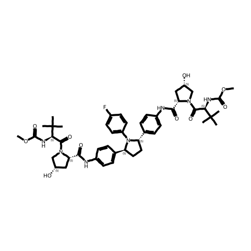 COC(=O)N[C@H](C(=O)N1C[C@@H](O)C[C@H]1C(=O)Nc1ccc([C@@H]2CC[C@@H](c3ccc(NC(=O)[C@@H]4C[C@H](O)CN4C(=O)[C@@H](NC(=O)OC)C(C)(C)C)cc3)N2c2ccc(F)cc2)cc1)C(C)(C)C